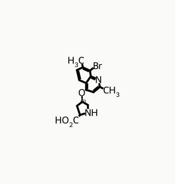 Cc1cc(O[C@H]2CNC(C(=O)O)C2)c2ccc(C)c(Br)c2n1